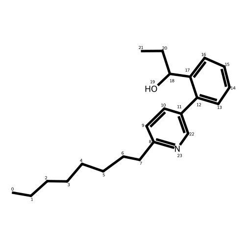 CCCCCCCCc1ccc(-c2ccccc2C(O)CC)cn1